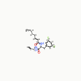 C#CCNC(=O)[C@H](Cc1cc(F)cc(F)c1)NC(=O)/C=C/CCCC(C)C